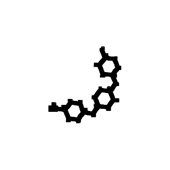 CC1CCC(CC2CCC(CC3CCC(O)CC3)CC2)CC1